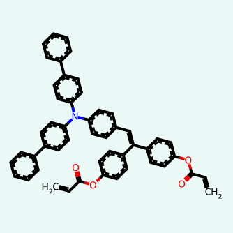 C=CC(=O)Oc1ccc(C(=Cc2ccc(N(c3ccc(-c4ccccc4)cc3)c3ccc(-c4ccccc4)cc3)cc2)c2ccc(OC(=O)C=C)cc2)cc1